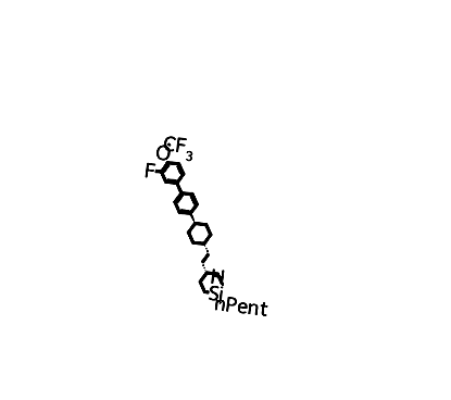 CCCCC[Si@H]1CC[C@H](CC[C@H]2CC[C@H](c3ccc(-c4ccc(OC(F)(F)F)c(F)c4)cc3)CC2)CC1